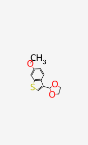 COc1ccc2c(C3OCCO3)csc2c1